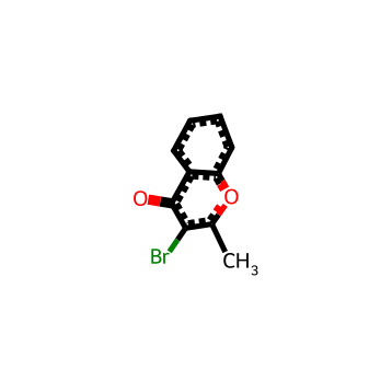 Cc1oc2ccccc2c(=O)c1Br